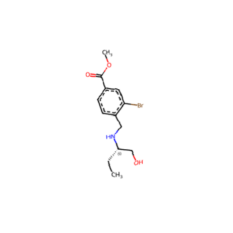 CC[C@@H](CO)NCc1ccc(C(=O)OC)cc1Br